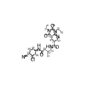 CCn1c(=O)c2cc(C(=O)NCC(C)CC(=O)Nc3ccc(C#N)c(Cl)c3)cnc2n(CC)c1=O